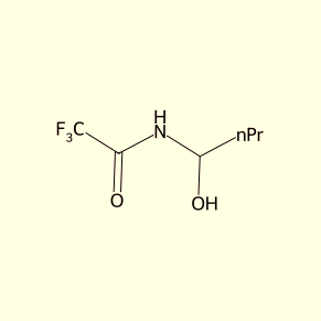 CCCC(O)NC(=O)C(F)(F)F